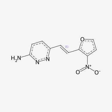 Nc1ccc(/C=C/c2occc2[N+](=O)[O-])nn1